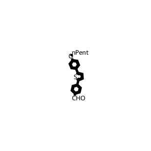 CCCCCOc1ccc(-c2ccc(-c3ccc(C=O)cc3)s2)cc1